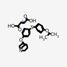 CC(C)Oc1ccc(Sc2ccc(OC3CN4CCC3CC4)cc2)cc1.O=C(O)/C=C/C(=O)O